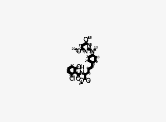 COC(=O)C(C/C=C/c1ccc(N(C)c2nc(OC)cc(OC)n2)cc1)NC(=O)c1c(Cl)cccc1Cl